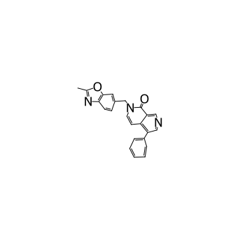 Cc1nc2ccc(Cn3ccc4c(-c5ccccc5)cncc4c3=O)cc2o1